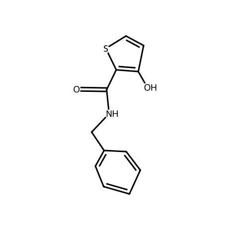 O=C(NCc1ccccc1)c1sccc1O